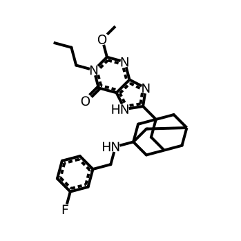 CCCn1c(OC)nc2nc(C34CC5CC(CC(NCc6cccc(F)c6)(C5)C3)C4)[nH]c2c1=O